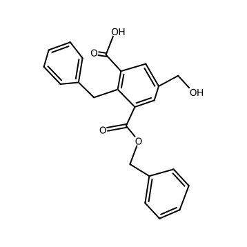 O=C(O)c1cc(CO)cc(C(=O)OCc2ccccc2)c1Cc1ccccc1